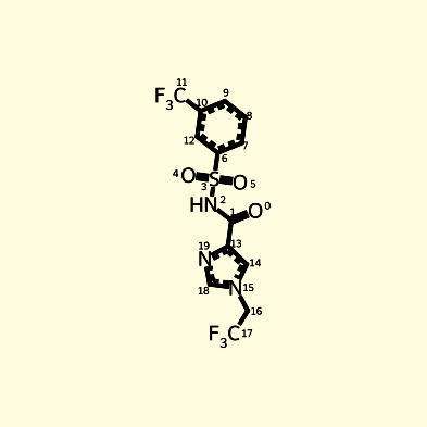 O=C(NS(=O)(=O)c1cccc(C(F)(F)F)c1)c1cn(CC(F)(F)F)cn1